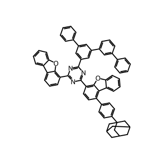 c1ccc(-c2cccc(-c3cc(-c4ccccc4)cc(-c4nc(-c5cccc6c5oc5ccccc56)nc(-c5ccc(-c6ccc(C78CC9CC(CC(C9)C7)C8)cc6)c6c5oc5ccccc56)n4)c3)c2)cc1